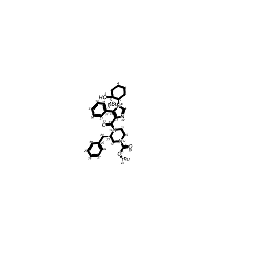 CCCC[C@]1(O)CCCC[C@H]1n1cnc(C(=O)N2CCN(C(=O)OC(C)(C)C)C[C@H]2Cc2ccccc2)c1-c1ccccc1